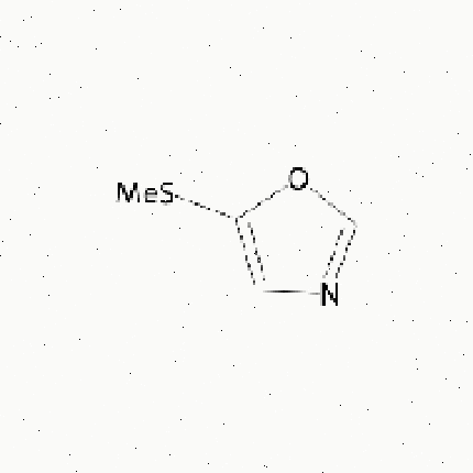 [CH2]Sc1cnco1